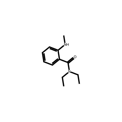 CCN(CC)C(=O)c1ccccc1NC